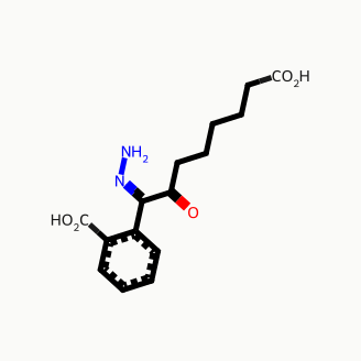 NN=C(C(=O)CCCCCC(=O)O)c1ccccc1C(=O)O